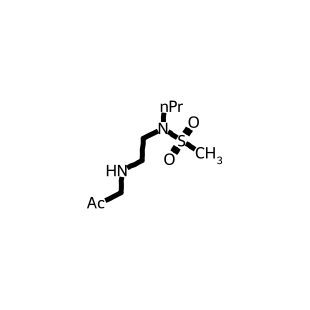 CCCN(CCNCC(C)=O)S(C)(=O)=O